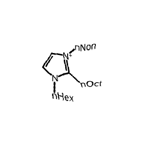 CCCCCCCCC[n+]1ccn(CCCCCC)c1CCCCCCCC